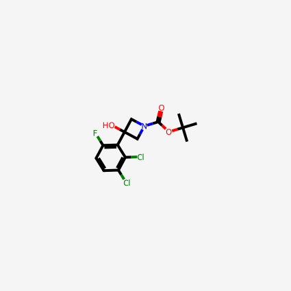 CC(C)(C)OC(=O)N1CC(O)(c2c(F)ccc(Cl)c2Cl)C1